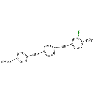 CCCCCCc1ccc(C#Cc2ccc(C#Cc3ccc(CCC)c(F)c3)cc2)cc1